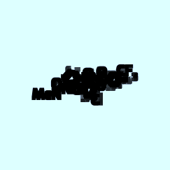 CNC(=O)Nc1cccc(C(=O)c2ncc(Cl)cc2NS(=O)(=O)c2ccc(C)c(C(F)(F)F)c2)c1Cl